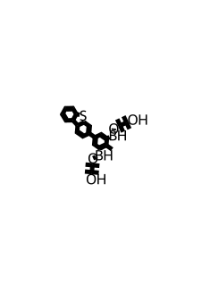 Cc1c(BOC(C)(C)C(C)(C)O)cc(C2=CC3SC4C=CC=CC4C3C=C2)cc1BOC(C)(C)C(C)(C)O